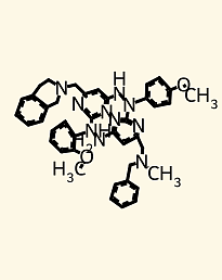 COc1ccc(N(Nc2cc(CN3CCc4ccccc4C3)nc(Nc3ccccc3OC)n2)c2nc(N)cc(CN(C)Cc3ccccc3)n2)cc1